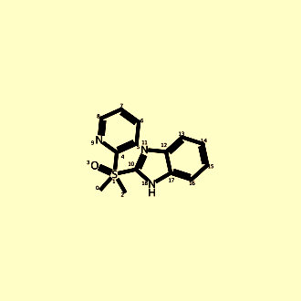 CS(C)(=O)(c1ccccn1)c1nc2ccccc2[nH]1